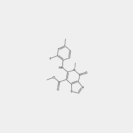 COC(=O)c1c(Nc2ccc(C)cc2F)n(C)c(=O)c2ncsc12